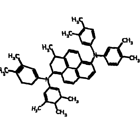 CC1=CC(N(C2=CC(C)=C(C)CC2)C2=c3ccc4ccc(N(c5ccc(C)c(C)c5)c5ccc(C)c(C)c5)c5ccc(c3c45)C(C)C2)=CC(C)C1C